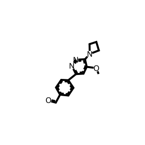 COc1cc(-c2ccc(C=O)cc2)nnc1N1CCC1